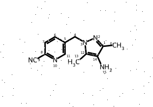 Cc1nn(Cc2ccc(C#N)nc2)c(C)c1N